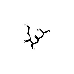 C=C(CC(=O)OC(CC)CCC)C(=O)OCCC#N